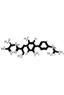 CC/C(=C\c1c(C)c(F)c(-c2ccc(NC(C)C)cc2)c(C)c1F)C(=O)N[C@H](C)C(=O)O